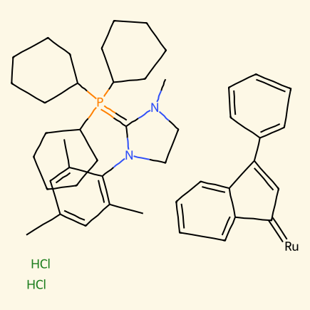 Cc1cc(C)c(N2CCN(C)C2=P(C2CCCCC2)(C2CCCCC2)C2CCCCC2)c(C)c1.Cl.Cl.[Ru]=[C]1C=C(c2ccccc2)c2ccccc21